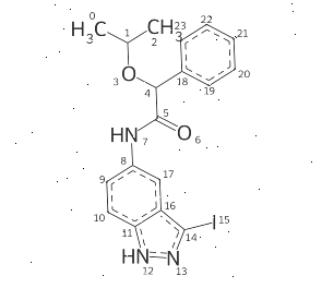 CC(C)OC(C(=O)Nc1ccc2[nH]nc(I)c2c1)c1ccccc1